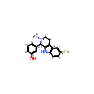 CC(=O)N1CCc2c([nH]c3ccc(F)cc23)C1c1cccc(O)c1